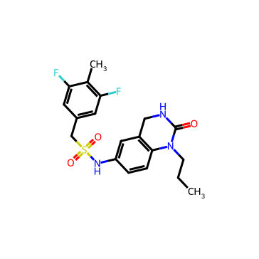 CCCN1C(=O)NCc2cc(NS(=O)(=O)Cc3cc(F)c(C)c(F)c3)ccc21